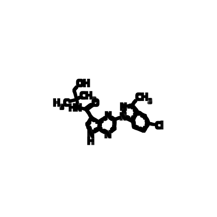 Cc1nn(-c2cnc3[nH]cc(C(=O)NC(C)(C)CO)c3n2)c2ccc(Cl)cc12